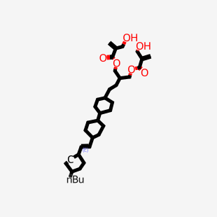 C=C(CO)C(=O)OCC(CCC1CCC(C2CCC(/C=C/C3CCC(CCCC)CC3)CC2)CC1)COC(=O)C(=C)CO